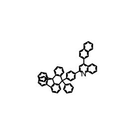 c1ccc(C2(c3ccc(-c4cc(-c5ccc6ccccc6c5)c5ccccc5n4)cc3)c3ccccc3C3(c4ccccc4)c4ccccc4-c4cccc2c43)cc1